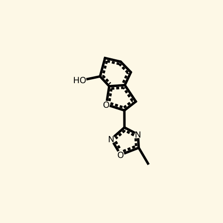 Cc1nc(-c2cc3cccc(O)c3o2)no1